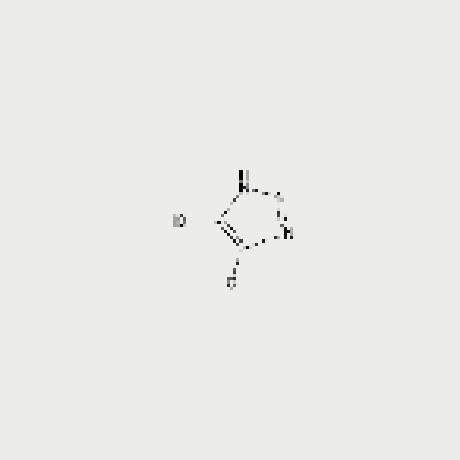 Oc1nn[nH]c1O